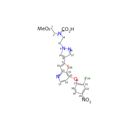 COCCN(CCn1cc(-c2cc3nccc(Oc4ccc([N+](=O)[O-])cc4F)c3s2)cn1)C(=O)O